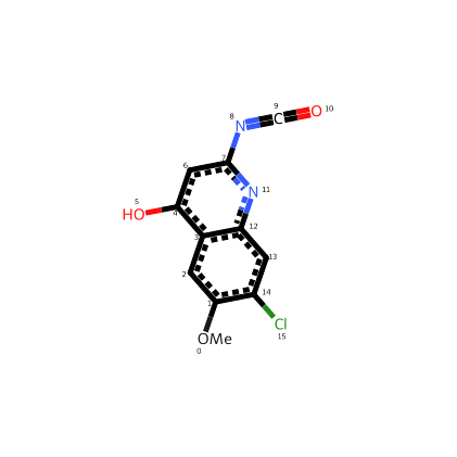 COc1cc2c(O)cc(N=C=O)nc2cc1Cl